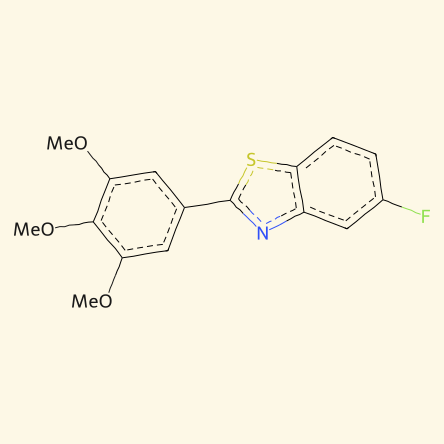 COc1cc(-c2nc3cc(F)ccc3s2)cc(OC)c1OC